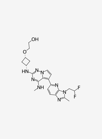 CNc1nc(N[C@H]2C[C@@H](OCCO)C2)nn2ccc(-c3ccc4nc(C)n(CC(F)F)c4n3)c12